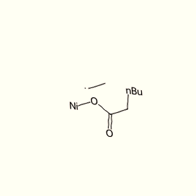 CCCCCC(=O)[O][Ni].[CH2]C